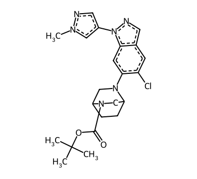 Cn1cc(-n2ncc3cc(Cl)c(N4CC5CCC4CN5C(=O)OC(C)(C)C)cc32)cn1